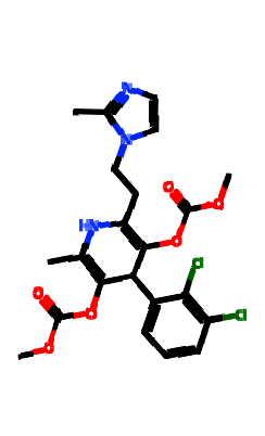 COC(=O)OC1=C(C)NC(CCn2ccnc2C)=C(OC(=O)OC)C1c1cccc(Cl)c1Cl